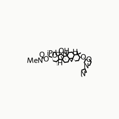 CNC(=O)O[C@H](C(C)C)[C@H]1C[C@@H](C)[C@H]2[C@H](O1)[C@H](O)[C@@]1(C)[C@@H]3CC[C@H]4C(C)(C)[C@@H](O[C@H]5CN(C6CN(C)C6)CCO5)CC[C@@]45C[C@@]35CC[C@]21C